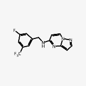 Fc1cc(CNc2ccn3nccc3n2)cc(C(F)(F)F)c1